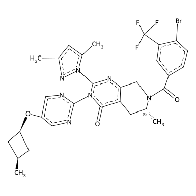 Cc1cc(C)n(-c2nc3c(c(=O)n2-c2ncc(O[C@H]4C[C@@H](C)C4)cn2)C[C@@H](C)N(C(=O)c2ccc(Br)c(C(F)(F)F)c2)C3)n1